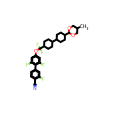 CC1COC(C2CCC(C3CCC(C(F)(F)Oc4cc(F)c(-c5ccc(C#N)c(F)c5)c(F)c4)CC3)CC2)OC1